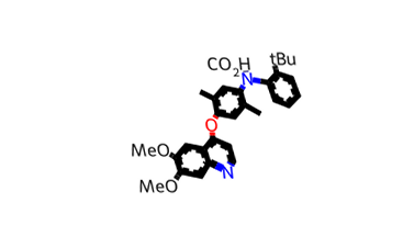 COc1cc2nccc(Oc3cc(C)c(N(C(=O)O)c4ccccc4C(C)(C)C)cc3C)c2cc1OC